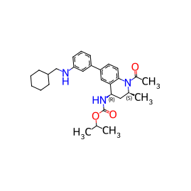 CC(=O)N1c2ccc(-c3cccc(NCC4CCCCC4)c3)cc2[C@H](NC(=O)OC(C)C)C[C@@H]1C